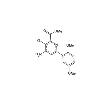 COC(=O)c1nc(-c2cc(OC)ccc2OC)cc(N)c1Cl